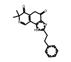 CC1(C)N=CC2=C(CC(=O)c3nc(CCc4ccccc4)[nH]c32)C1=O